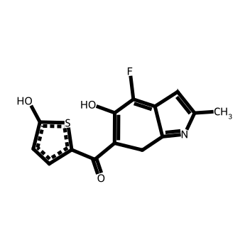 CC1=[C]C2=C(F)C(O)=C(C(=O)c3ccc(O)s3)CC2=N1